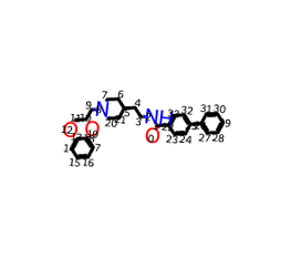 O=C(NCCC1CCN(CC2COc3ccccc3O2)CC1)c1ccc(-c2ccccc2)cc1